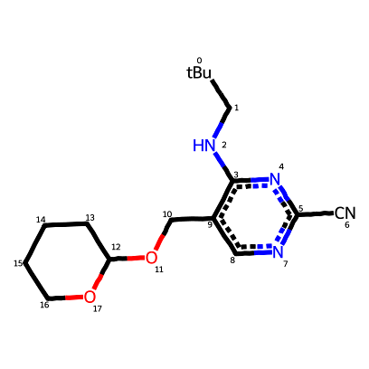 CC(C)(C)CNc1nc(C#N)ncc1COC1CCCCO1